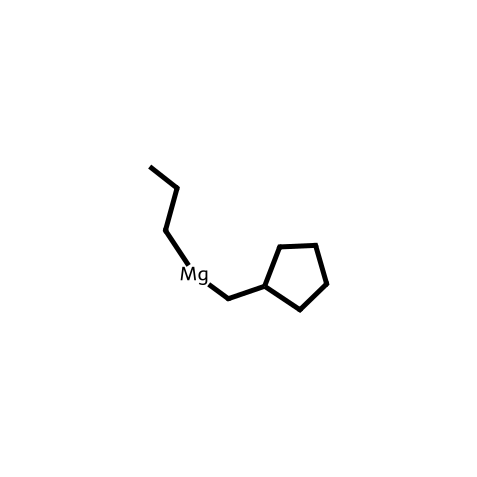 CC[CH2][Mg][CH2]C1CCCC1